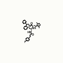 CC1CCC(C)N1CC[C@@H]1N[C@H](CNC(=O)/C=C/c2ccc(I)cc2)CCN(CC(c2ccccc2)c2ccccc2)C1=O